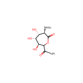 CCCC(=O)C1OC(=O)[C@H](NC(C)=O)[C@@H](O)[C@@H](O)[C@@H]1O